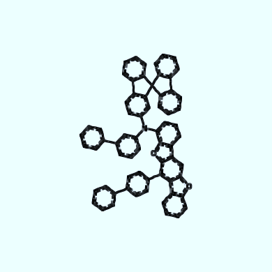 c1ccc(-c2ccc(-c3c4oc5c(N(c6cccc(-c7ccccc7)c6)c6ccc7c(c6)C6(c8ccccc8-c8ccccc86)c6ccccc6-7)cccc5c4cc4oc5ccccc5c34)cc2)cc1